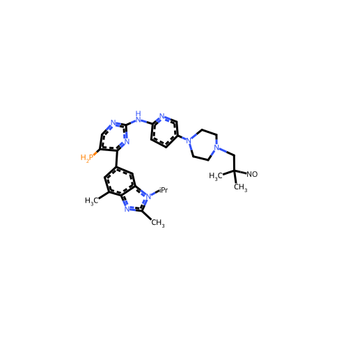 Cc1cc(-c2nc(Nc3ccc(N4CCN(CC(C)(C)N=O)CC4)cn3)ncc2P)cc2c1nc(C)n2C(C)C